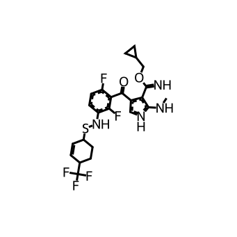 CNc1[nH]cc(C(=O)c2c(F)ccc(NSC3C=CC(C(F)(F)F)CC3)c2F)c1C(=N)OCC1CC1